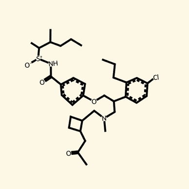 CCCc1cc(Cl)ccc1C(COc1ccc(C(=O)N[S+]([O-])C(C)C(C)CCC)cc1)CN(C)CC1CCC1CC(C)=O